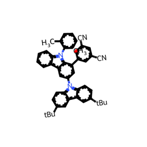 Cc1cccc(C)c1-n1c2ccccc2c2cc(-n3c4ccc(C(C)(C)C)cc4c4cc(C(C)(C)C)ccc43)cc(-c3cc(C#N)cc(C#N)c3)c21